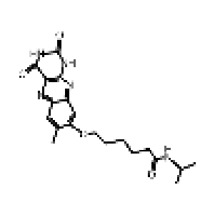 Cc1cc2nc3c(=O)[nH]c(=O)[nH]c3nc2cc1OCCCCCC(=O)NC(C)C